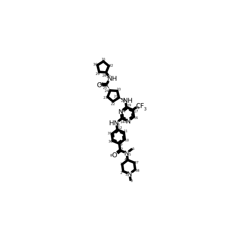 CN1CCC(N(C)C(=O)c2ccc(Nc3ncc(C(F)(F)F)c(N[C@@H]4CC[C@H](C(=O)NC5CCCC5)C4)n3)cc2)CC1